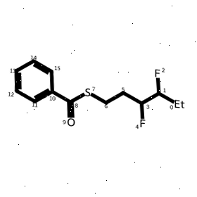 CCC(F)C(F)CCSC(=O)c1ccccc1